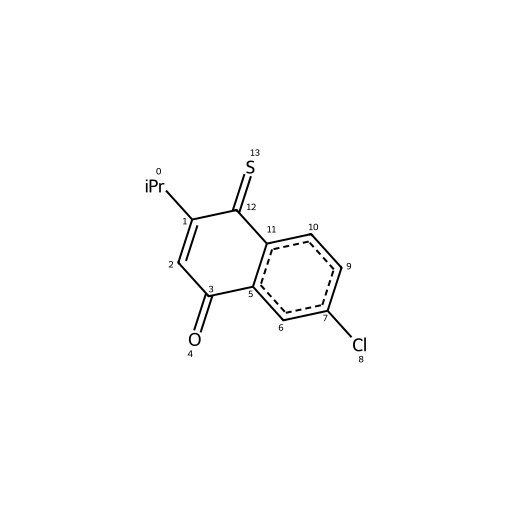 CC(C)C1=CC(=O)c2cc(Cl)ccc2C1=S